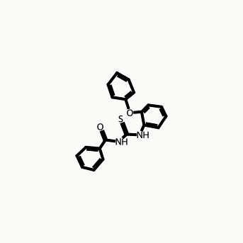 O=C(NC(=S)Nc1ccccc1Oc1ccccc1)c1ccccc1